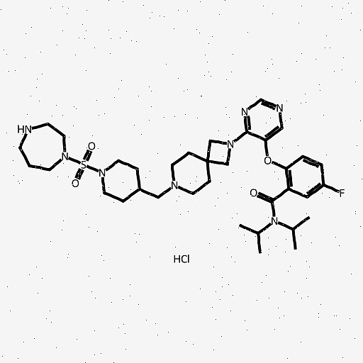 CC(C)N(C(=O)c1cc(F)ccc1Oc1cncnc1N1CC2(CCN(CC3CCN(S(=O)(=O)N4CCCNCC4)CC3)CC2)C1)C(C)C.Cl